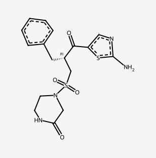 Nc1n[c]c(C(=O)[C@@H](Cc2ccccc2)CS(=O)(=O)N2CCNC(=O)C2)s1